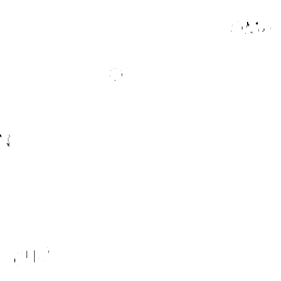 COc1ccc(COc2ccc3ncc(CCC=O)cc3c2)cc1